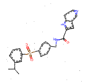 CC(C)c1cccc(S(=O)(=O)c2ccc(CNC(=O)c3cc4cnccc4[nH]3)cc2)c1